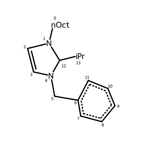 CCCCCCCCN1C=CN(Cc2ccccc2)C1C(C)C